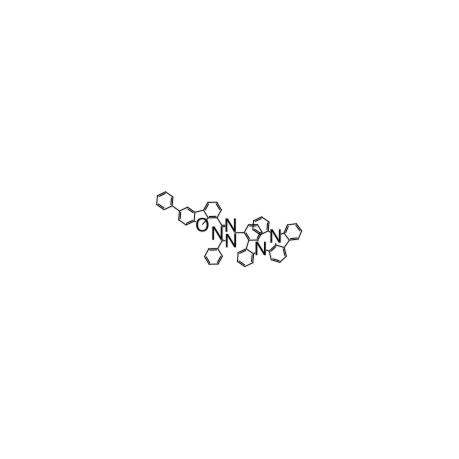 c1ccc(-c2ccc3oc4c(-c5nc(-c6ccccc6)nc(-c6cccc7c6c6ccccc6n7-c6cccc7c8ccccc8n(-c8ccccc8)c67)n5)cccc4c3c2)cc1